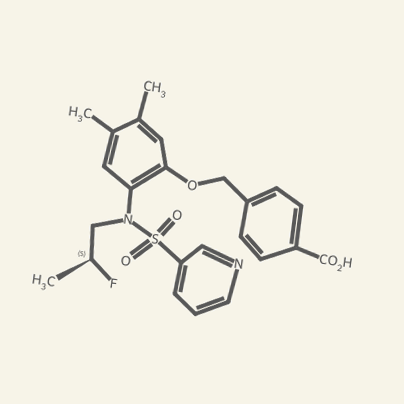 Cc1cc(OCc2ccc(C(=O)O)cc2)c(N(C[C@H](C)F)S(=O)(=O)c2cccnc2)cc1C